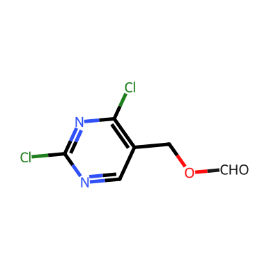 O=COCc1cnc(Cl)nc1Cl